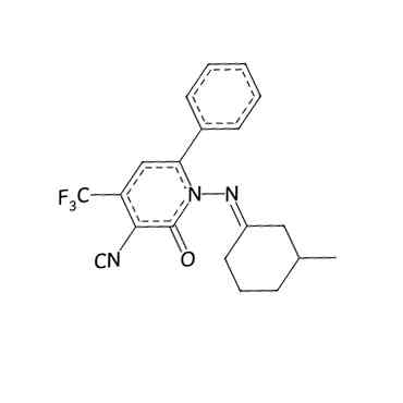 [C-]#[N+]c1c(C(F)(F)F)cc(-c2ccccc2)n(/N=C2\CCCC(C)C2)c1=O